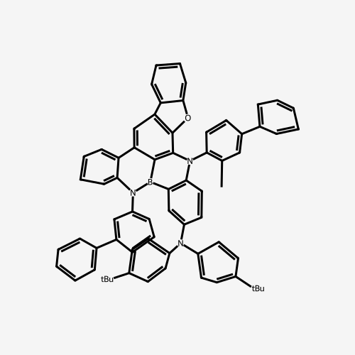 Cc1cc(-c2ccccc2)ccc1N1c2ccc(N(c3ccc(C(C)(C)C)cc3)c3ccc(C(C)(C)C)cc3)cc2B2c3c(cc4c(oc5ccccc54)c31)-c1ccccc1N2c1cccc(-c2ccccc2)c1